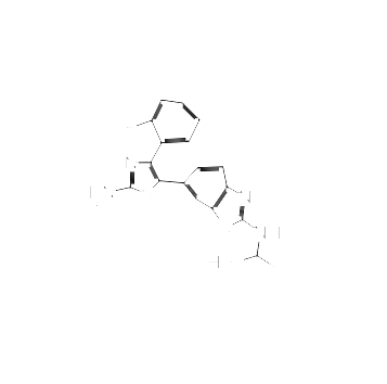 CC(C)Nc1nc2ccc(-c3sc(N)nc3-c3ccccc3F)cc2s1